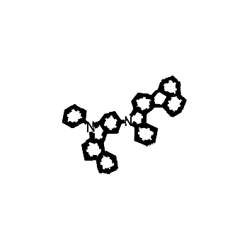 c1ccc(-n2c3ccc(-n4c5ccccc5c5c6c(ccc54)-c4cccc5cccc-6c45)cc3c3c4ccccc4ccc32)cc1